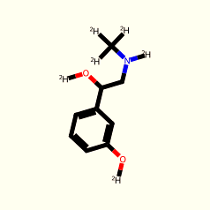 [2H]Oc1cccc(C(CN([2H])C([2H])([2H])[2H])O[2H])c1